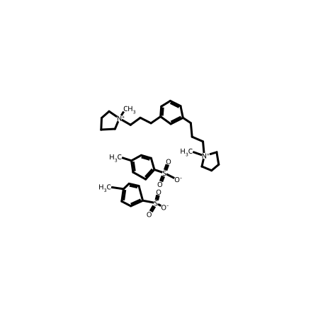 C[N+]1(CCCc2cccc(CCC[N+]3(C)CCCC3)c2)CCCC1.Cc1ccc(S(=O)(=O)[O-])cc1.Cc1ccc(S(=O)(=O)[O-])cc1